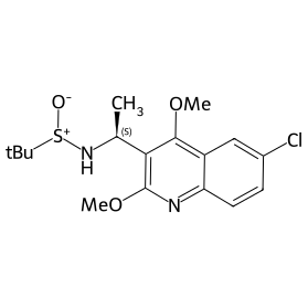 COc1nc2ccc(Cl)cc2c(OC)c1[C@H](C)N[S+]([O-])C(C)(C)C